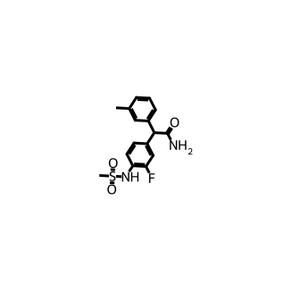 Cc1cccc(C(C(N)=O)c2ccc(NS(C)(=O)=O)c(F)c2)c1